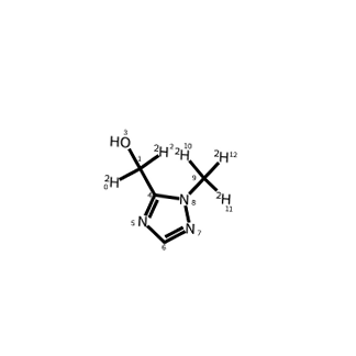 [2H]C([2H])(O)c1ncnn1C([2H])([2H])[2H]